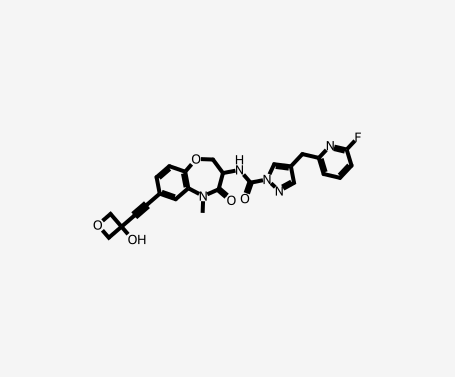 CN1C(=O)C(NC(=O)n2cc(Cc3cccc(F)n3)cn2)COc2ccc(C#CC3(O)COC3)cc21